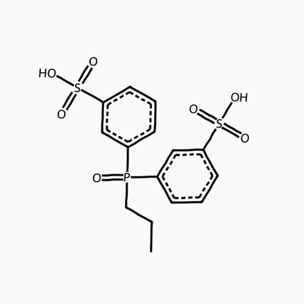 CCCP(=O)(c1cccc(S(=O)(=O)O)c1)c1cccc(S(=O)(=O)O)c1